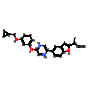 CC(=O)NC(C)c1cc2cc(-c3cnc(Oc4cccc(OCC5CC5)c4)cn3)ccc2o1